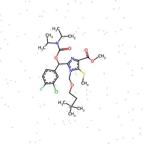 COC(=O)c1nc(C(OC(=O)N(C(C)C)C(C)C)c2ccc(F)c(Cl)c2)n(COCC[Si](C)(C)C)c1SC